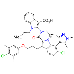 COCCn1c(N2C[C@@H](C)n3c(c(CCCOc4cc(C)c(Cl)c(C)c4)c4ccc(Cl)c(-c5c(C)nn(C)c5C)c43)C2=O)c(C(=O)O)c2ccccc21